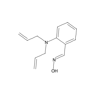 C=CCN(CC=C)c1ccccc1C=NO